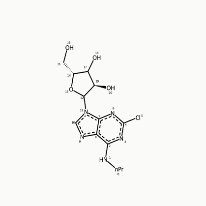 CCCNc1nc(Cl)nc2c1ncn2C1O[C@H](CO)C(O)[C@H]1O